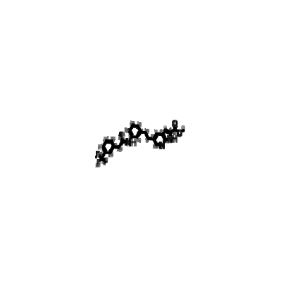 COC(=O)c1cc2cc(CCc3cccc(NC(=S)Cc4cccc(C(F)(F)F)c4)c3)cnc2[nH]1